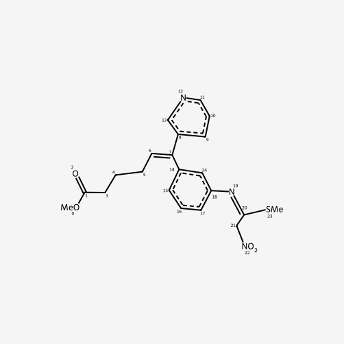 COC(=O)CCC/C=C(/c1cccnc1)c1cccc(N=C(C[N+](=O)[O-])SC)c1